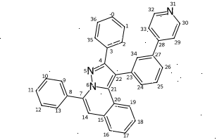 c1ccc(-c2nn3c(-c4ccccc4)cc4ccccc4c3c2-c2cccc(-c3ccncc3)c2)cc1